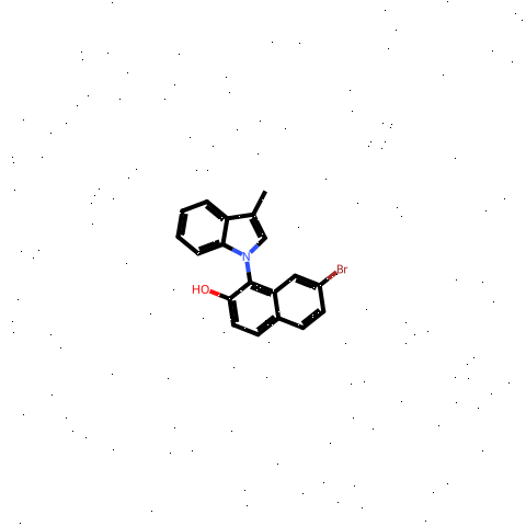 Cc1cn(-c2c(O)ccc3ccc(Br)cc23)c2ccccc12